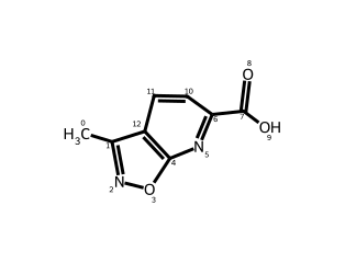 Cc1noc2nc(C(=O)O)ccc12